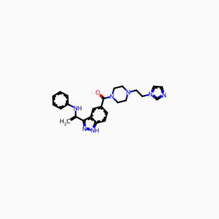 C=C(Nc1ccccc1)c1n[nH]c2ccc(C(=O)N3CCN(CCn4ccnc4)CC3)cc12